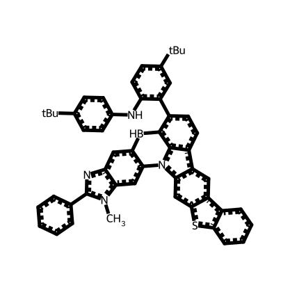 Cn1c(-c2ccccc2)nc2cc3c(cc21)-n1c2cc4sc5ccccc5c4cc2c2ccc(-c4cc(C(C)(C)C)ccc4Nc4ccc(C(C)(C)C)cc4)c(c21)B3